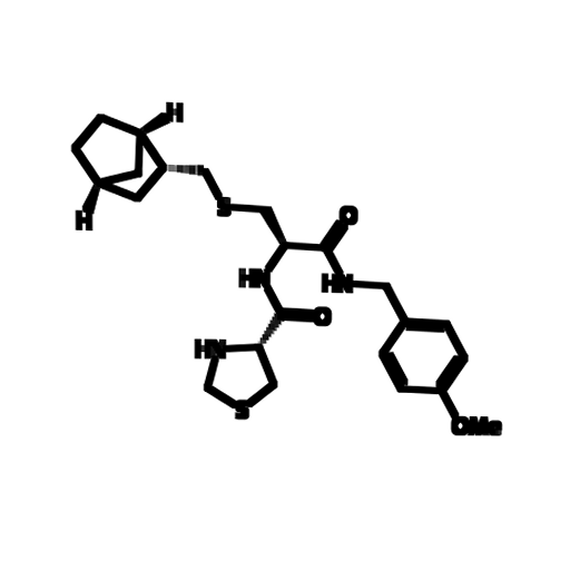 COc1ccc(CNC(=O)[C@H](CSC[C@@H]2C[C@@H]3CC[C@H]2C3)NC(=O)[C@@H]2CSCN2)cc1